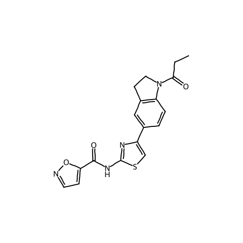 CCC(=O)N1CCc2cc(-c3csc(NC(=O)c4ccno4)n3)ccc21